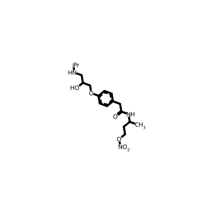 CC(C)NCC(O)COc1ccc(CC(=O)NC(C)CCO[N+](=O)[O-])cc1